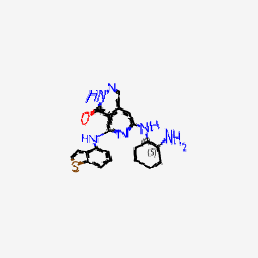 N[C@H]1CCCC[C@H]1Nc1cc2cn[nH]c(=O)c2c(Nc2cccc3sccc23)n1